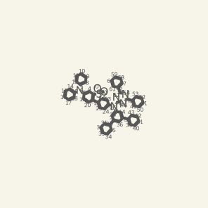 O=S1(=O)c2cc(N(c3ccccc3)c3ccccc3)ccc2-c2ccc(N(c3cc(-c4ccccc4)cc(-c4ccccc4)c3)c3nc(-c4ccccc4)nc(-c4ccccc4)n3)cc21